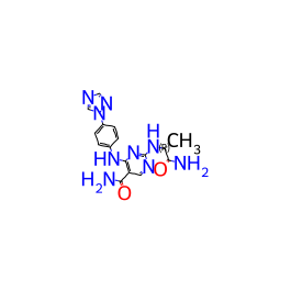 C[C@@H](Nc1ncc(C(N)=O)c(Nc2ccc(-n3cncn3)cc2)n1)C(N)=O